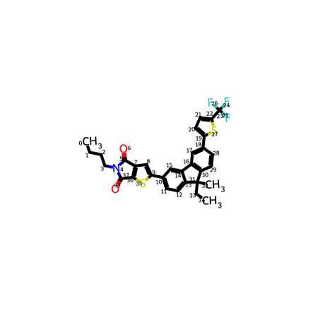 CCCCN1C(=O)c2cc(-c3ccc4c(c3)-c3cc(-c5ccc(C(F)(F)F)s5)ccc3C4(C)CC)sc2C1=O